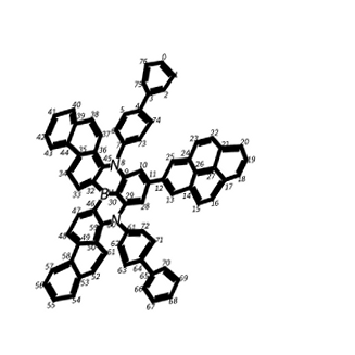 c1ccc(-c2ccc(N3c4cc(-c5cc6ccc7cccc8ccc(c5)c6c78)cc5c4B(c4ccc6c(ccc7ccccc76)c43)c3ccc4c(ccc6ccccc64)c3N5c3ccc(-c4ccccc4)cc3)cc2)cc1